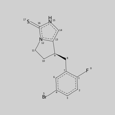 Fc1ccc(Br)cc1C[C@H]1CCn2c1c[nH]c2=S